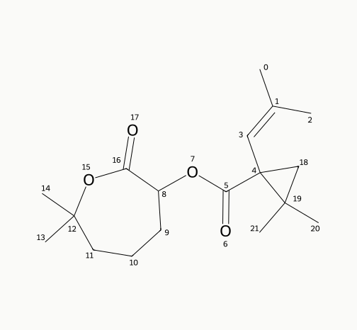 CC(C)=CC1(C(=O)OC2CCCC(C)(C)OC2=O)CC1(C)C